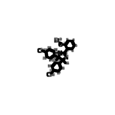 CCOc1ccccc1C1=NC(C)(c2ccc(Cl)cc2)C(C)(c2ccc(Cl)cc2)N1